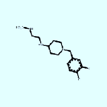 O=C(O)NCCNC1CCN(Cc2ccc(Cl)c(Cl)c2)CC1